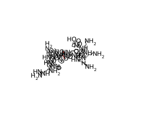 CC(C)[C@H](NC(=O)[C@H](Cc1ccccc1)NC(=O)[C@@H](N)CCCNC(=N)N)C(=O)N[C@@H](CC(N)=O)C(=O)N[C@H](C(=O)N[C@H](C(=O)N1CCC[C@H]1C(=O)N[C@H](C(=O)N[C@@H](Cc1ccccc1)C(=O)NCC(=O)N[C@@H](CCCCN)C(=O)N[C@@H](CCCCN)C(=O)N[C@@H](CCCCN)C(=O)NCC(=O)N1CCC[C@H]1C(=O)O)[C@@H](C)O)C(C)C)C(C)C